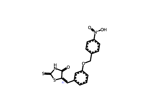 O=C1NC(=S)S/C1=C/c1cccc(OCc2ccc([N+](=O)O)cc2)c1